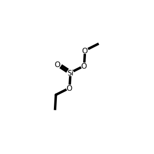 CCO[Si](=O)OOC